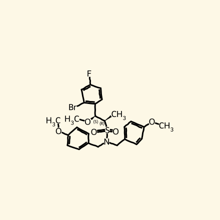 COc1ccc(CN(Cc2ccc(OC)cc2)S(=O)(=O)[C@H](C)[C@@H](OC)c2ccc(F)cc2Br)cc1